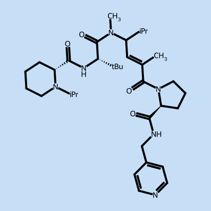 C/C(=C\C(C(C)C)N(C)C(=O)[C@@H](NC(=O)[C@H]1CCCCN1C(C)C)C(C)(C)C)C(=O)N1CCC[C@H]1C(=O)NCc1ccncc1